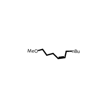 CCCCC/C=C\CCCOC